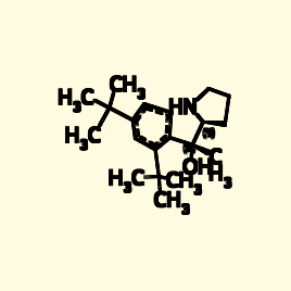 CC(C)(C)c1ccc([C@@](C)(O)[C@@H]2CCCN2)c(C(C)(C)C)c1